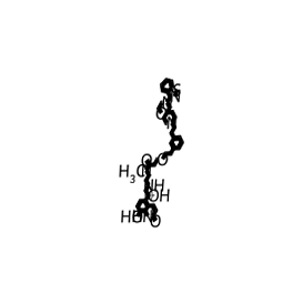 CN(CCNC[C@H](O)c1ccc(O)c2[nH]c(=O)ccc12)C(=O)CCOCCc1cccc(CCN2CCC3(CC2)CN(c2nsc4ccccc24)CCO3)c1